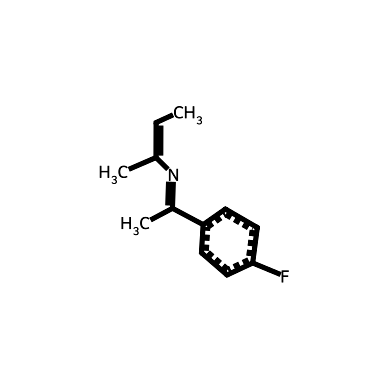 C/C=C(C)\N=C(/C)c1ccc(F)cc1